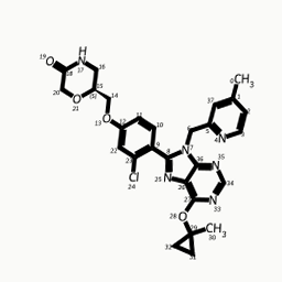 Cc1ccnc(Cn2c(-c3ccc(OC[C@@H]4CNC(=O)CO4)cc3Cl)nc3c(OC4(C)CC4)ncnc32)c1